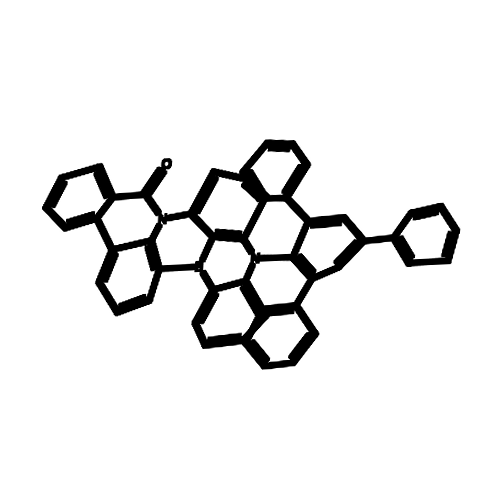 O=c1c2ccccc2c2cccc3c2n1-c1cccc2c1B3c1ccccc1N2c1c(-c2ccccc2)cc(-c2ccccc2)cc1-c1ccccc1